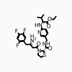 CCOC(=O)[C@H](Nc1ccc(CNC(=O)[C@@H]2SCCN2C(=O)C[C@H](N)Cc2cc(F)c(F)cc2F)cn1)C(C)C